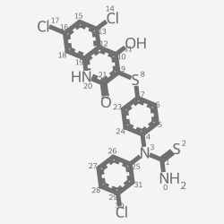 NC(=S)N(c1ccc(Sc2c(O)c3c(Cl)cc(Cl)cc3[nH]c2=O)cc1)c1cccc(Cl)c1